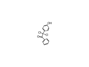 O=C(c1ccccc1)C(Cl)(Cl)c1ccc(O)cc1